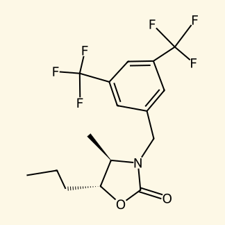 CCC[C@H]1OC(=O)N(Cc2cc(C(F)(F)F)cc(C(F)(F)F)c2)[C@@H]1C